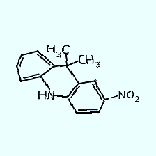 CC1(C)c2ccccc2Nc2ccc([N+](=O)[O-])cc21